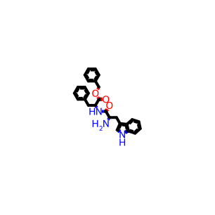 NC(Cc1c[nH]c2ccccc12)C(=O)NC(Cc1ccccc1)C(=O)OCc1ccccc1